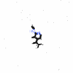 C=CNc1nccc(C(C)C(C)C)c1C